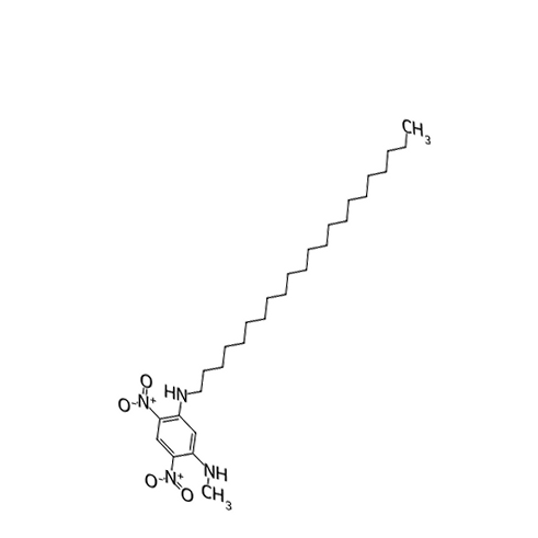 CCCCCCCCCCCCCCCCCCCCCCNc1cc(NC)c([N+](=O)[O-])cc1[N+](=O)[O-]